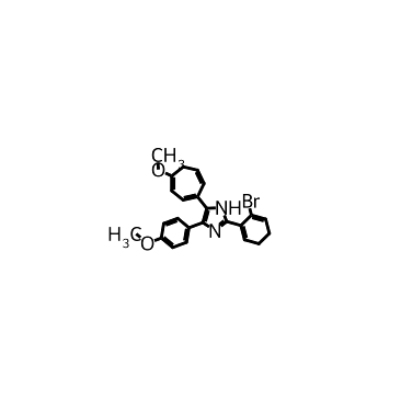 COC1=CC=C(c2[nH]c(C3=CCCC=C3Br)nc2-c2ccc(OC)cc2)C=CC1